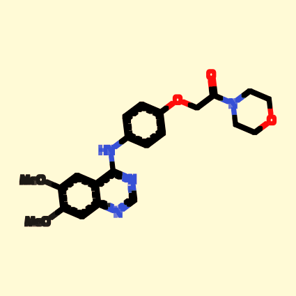 COc1cc2ncnc(Nc3ccc(OCC(=O)N4CCOCC4)cc3)c2cc1OC